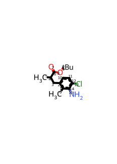 Cc1c(CC(C)C(=O)OC(C)(C)C)ccc(Cl)c1N